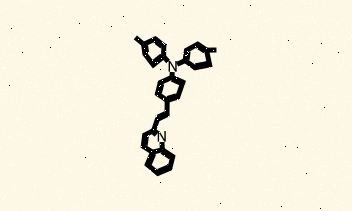 Cc1ccc(N(c2ccc(C)cc2)c2ccc(C=Cc3ccc4ccccc4n3)cc2)cc1